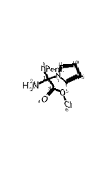 CCCCCC(N)(C(=O)OCl)n1cccc1